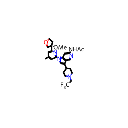 CO[C@@]1(c2cc(C)cc(-n3cc(C4CCN(CC(F)(F)F)CC4)c4cnc(NC(C)=O)cc43)n2)CCOC1